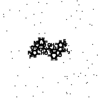 NC(=O)C(OC(=O)C(O)C(O)C(=O)OC(C(N)=O)(c1ccccc1)C1CCC(F)(F)C1)(c1ccccc1)C1CCC(F)(F)C1